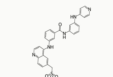 O=C(Nc1cccc(Nc2ccncc2)c1)c1cccc(Nc2ccnc3ccc(C[SH](=O)=O)cc23)c1